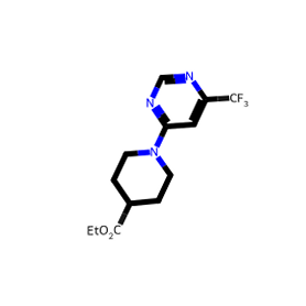 CCOC(=O)C1CCN(c2cc(C(F)(F)F)ncn2)CC1